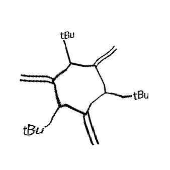 C=C1C(C(C)(C)C)C(=C)C(C(C)(C)C)C(=C)C1C(C)(C)C